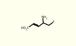 NC(C=CC(=O)O)CF